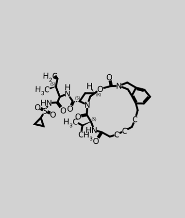 C=C[C@H](C)C(NC(=O)[C@@H]1C[C@@H]2CN1C(=O)[C@H](C(C)C)NC(=O)CCCCCCc1cccc3c1CN(C3)C(=O)O2)C(=O)NS(=O)(=O)C1CC1